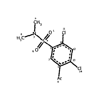 CC(=O)c1cc(S(=O)(=O)N(C)C)c(Cl)cc1Cl